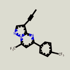 CC#Cc1cnn2c(C(F)(F)F)cc(-c3ccc(C(F)(F)F)cc3)nc12